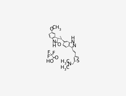 COc1ccc2c(c1)[C@]1(C[C@H]1c1ccc3c(/C=C/c4csc(CN(C)C)c4)n[nH]c3c1)C(=O)N2.O=C(O)C(F)(F)F